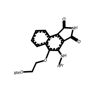 CCCNc1c2c(c3ccccc3c1OCCOC)C(=O)NC2=O